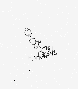 [2H]C([2H])([2H])C1(N)NC=C(c2nc3cc(N4CCOCC4)ccc3o2)c2cc(N)ncc21